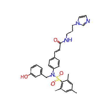 Cc1cc(C)c(S(=O)(=O)N(Cc2cccc(O)c2)c2ccc(/C=C/C(=O)NCCCn3ccnc3)cc2)c(C)c1